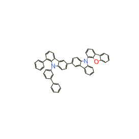 c1ccc(-c2cccc(-n3c4ccc(-c5ccc6c(c5)c5ccccc5n6-c5cccc6c5oc5ccccc56)cc4c4cccc(-c5ccccc5)c43)c2)cc1